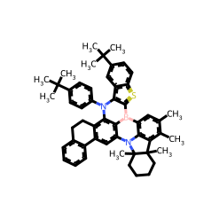 Cc1cc2c3c(c1C)C1(C)CCCCC1(C)N3c1cc3c(c4c1B2c1sc2ccc(C(C)(C)C)cc2c1N4c1ccc(C(C)(C)C)cc1)CCc1ccccc1-3